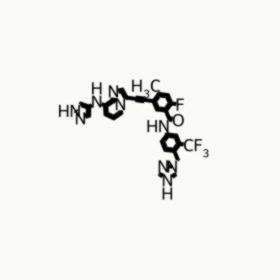 Cc1cc(F)c(C(=O)Nc2ccc(CN3CNC=N3)c(C(F)(F)F)c2)cc1C#Cc1cnc2c(Nc3cn[nH]c3)cccn12